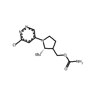 CC(C)(C)[C@H]1C(COC(N)=O)CCN1c1cnnc(Cl)c1